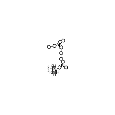 [2H]c1c([2H])c([2H])c(-c2ccc(N(c3ccccc3)c3ccc4cc(-c5ccc(-c6ccc7c8c9ccccc9ccc8n(-c8ccc(-c9ccccc9)cc8)c7c6)cc5)ccc4c3)cc2)c([2H])c1[2H]